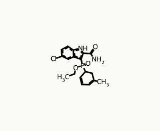 CCOP(=O)(c1c(C(N)=O)[nH]c2ccc(Cl)cc12)C1C=CC=C(C)C1